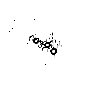 Cc1cc(I)ccc1Nc1c(C(=O)O)cc(C(=O)Nc2ccc3c(c2)OCCO3)c(F)c1F